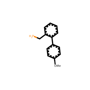 COc1ccc(-c2ccccc2CP)cc1